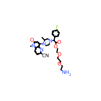 CC1CN(C(C(=O)OCCOCCOCCN)c2ccc(F)cc2)CCN1c1cc(=O)n(C)c2ccc(C#N)nc12